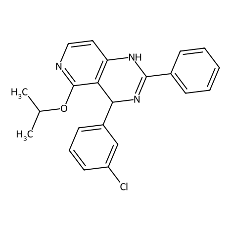 CC(C)Oc1nccc2c1C(c1cccc(Cl)c1)N=C(c1ccccc1)N2